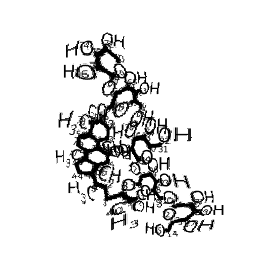 CC(CCC(OC1OC(COC2OC(CO)C(O)C(O)C2O)C(O)C(O)C1OC1OC(CO)C(O)C(O)C1O)C(C)(C)O)C1CCC2(C)C3CC=C4C(CCC(OC5OC(CO)C(O)C(O)C5OC5OCC(O)C(O)C5O)C4(C)C)C3(C)C(O)CC12C